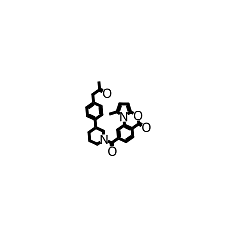 CC(=O)Cc1ccc(C2CCCN(C(=O)c3ccc4c(=O)oc5ccc(C)n5c4c3)C2)cc1